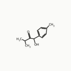 Cc1ccc(C(O)C(=O)C(C)C)cc1